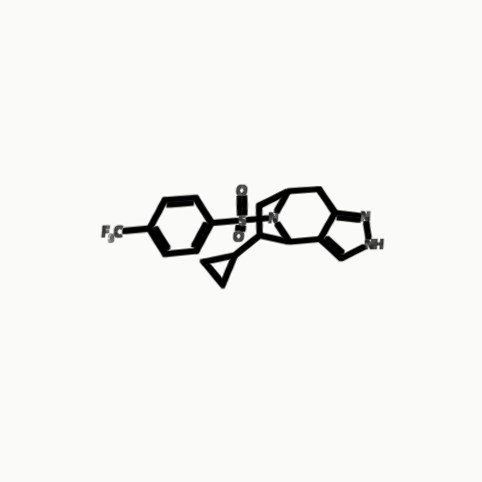 O=S(=O)(c1ccc(C(F)(F)F)cc1)N1C2Cc3n[nH]cc3C1C(C1CC1)C2